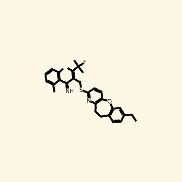 CCc1ccc2c(c1)Oc1ccc(SC/C(C(=N)c3c(C)cccc3C)=C(/C)C(C)(C)F)nc1CC2